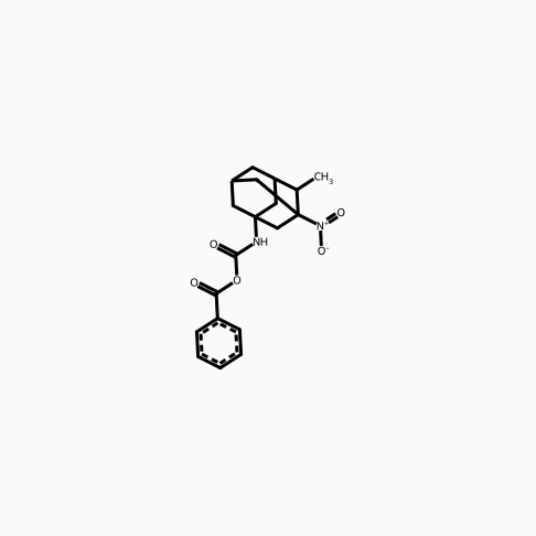 CC1C2CC3CC(NC(=O)OC(=O)c4ccccc4)(C2)CC1([N+](=O)[O-])C3